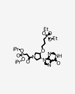 CCOP(=O)(CCCO[C@@H]1CN(C(=O)CP(=O)(OC(C)C)OC(C)C)C[C@H]1n1cnc2c(=O)[nH]cnc21)OCC